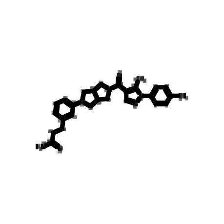 Cc1ccc(-n2ncc(C(=O)N3CC4CN(c5cccc(CCC(N)=O)c5)CC4C3)c2C)cc1